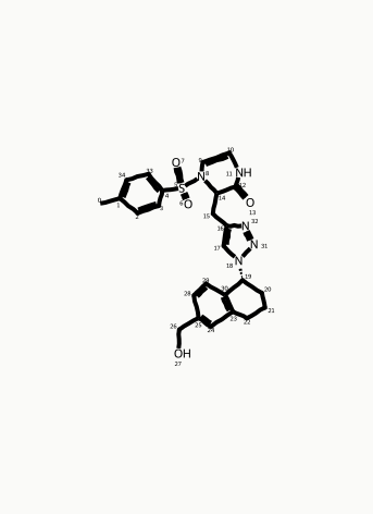 Cc1ccc(S(=O)(=O)N2C=CNC(=O)C2Cc2cn([C@@H]3CCCc4cc(CO)ccc43)nn2)cc1